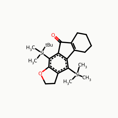 CC(C)(C)[Si](C)(C)c1c2c(c([Si](C)(C)C)c3c1C(=O)C1=C3CCCC1)CCO2